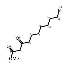 COC(=O)CC(=O)CCCCCCCBr